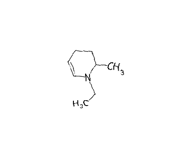 CCN1C=CCCC1C